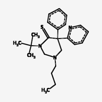 CCCCN1CN(C(C)(C)C)C(=S)C(c2ccccc2)(c2ccccn2)C1